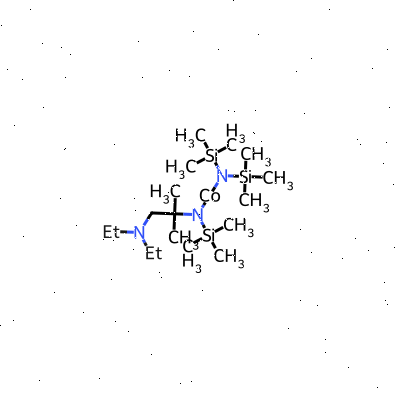 CCN(CC)CC(C)(C)[N]([Co][N]([Si](C)(C)C)[Si](C)(C)C)[Si](C)(C)C